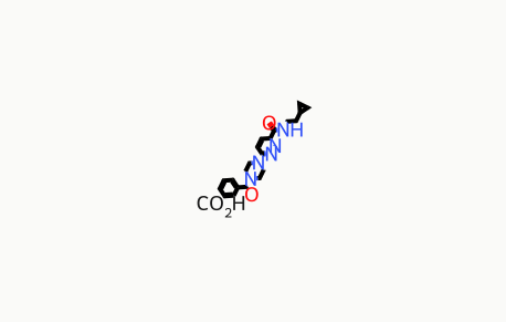 O=C(NCCC1CC1)c1ccc(N2CCN(C(=O)c3ccccc3C(=O)O)CC2)nn1